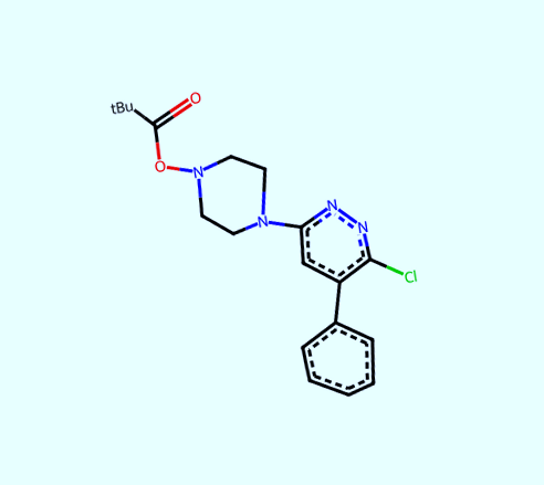 CC(C)(C)C(=O)ON1CCN(c2cc(-c3ccccc3)c(Cl)nn2)CC1